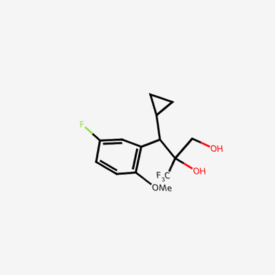 COc1ccc(F)cc1C(C1CC1)C(O)(CO)C(F)(F)F